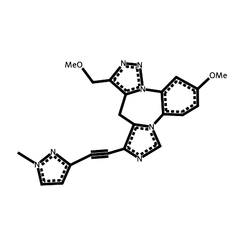 COCc1nnn2c1Cc1c(C#Cc3ccn(C)n3)ncn1-c1ccc(OC)cc1-2